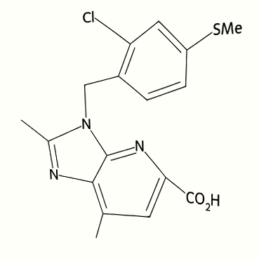 CSc1ccc(Cn2c(C)nc3c(C)cc(C(=O)O)nc32)c(Cl)c1